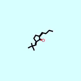 CCCC=C1CCC(=CC(C)(C)C)C1=O